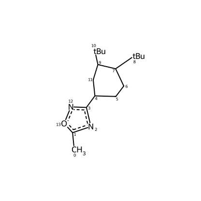 Cc1nc(C2CCC(C(C)(C)C)C(C(C)(C)C)C2)no1